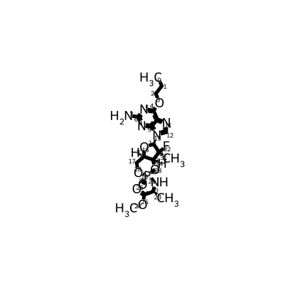 CCCOc1nc(N)nc2c1ncn2[C@@H]1O[C@@H]2CO[P@](=O)(N[C@@H](C)C(=O)OC)O[C@H]2[C@@]1(C)F